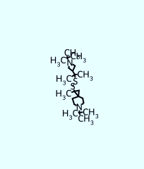 CC(C)(SSC1(C)CC12CCN(C(C)(C)C)CC2)C1CN(C(C)(C)C)C1